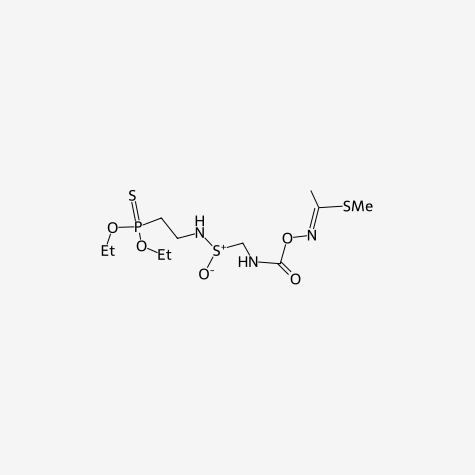 CCOP(=S)(CCN[S+]([O-])CNC(=O)ON=C(C)SC)OCC